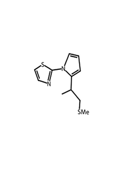 CSCC(C)c1cccn1-c1nccs1